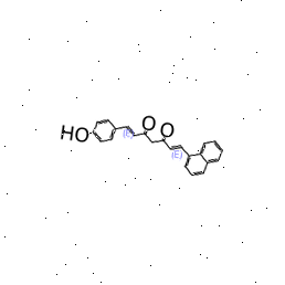 O=C(/C=C/c1ccc(O)cc1)CC(=O)/C=C/c1cccc2ccccc12